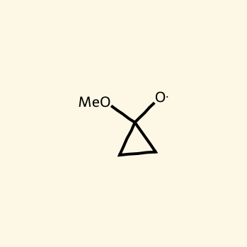 COC1([O])CC1